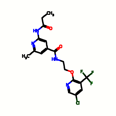 CCC(=O)Nc1cc(C(=O)NCCOc2ncc(Cl)cc2C(F)(F)F)cc(C)n1